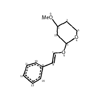 COC1CCOC(OC=Cc2ccccc2)C1